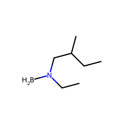 BN(CC)CC(C)CC